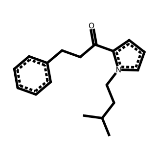 CC(C)CCn1cccc1C(=O)CCc1ccccc1